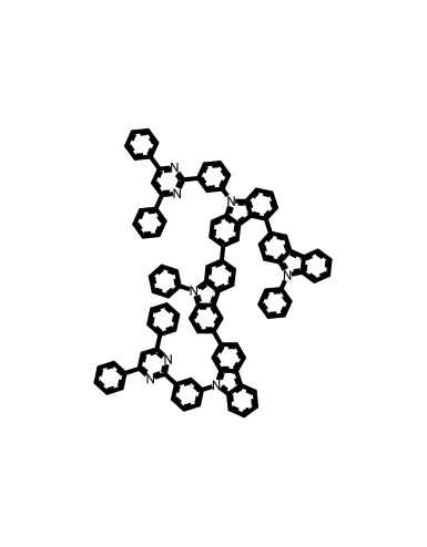 c1ccc(-c2cc(-c3ccccc3)nc(-c3cccc(-n4c5ccccc5c5ccc(-c6ccc7c(c6)c6ccc(-c8ccc9c(c8)c8c(-c%10ccc%11c(c%10)c%10ccccc%10n%11-c%10ccccc%10)cccc8n9-c8cccc(-c9nc(-c%10ccccc%10)cc(-c%10ccccc%10)n9)c8)cc6n7-c6ccccc6)cc54)c3)n2)cc1